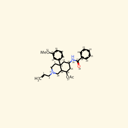 C=CCN1CCC2(c3cccc(OC)c3)CC(NC(=O)c3ccccc3)CC(OC(C)=O)C2C1